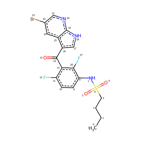 CCCCS(=O)(=O)Nc1ccc(F)c(C(=O)c2c[nH]c3ncc(Br)cc23)c1F